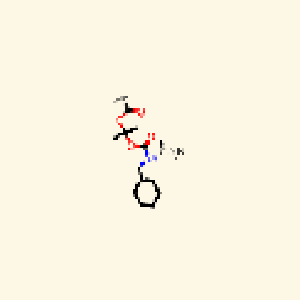 CC(=O)O.CC(C)C(=O)OC(C)(C)OC(=O)NCC1CCCCC1